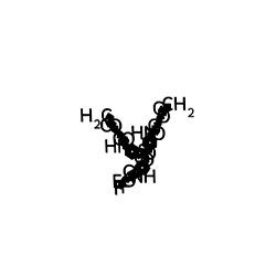 C=CC(=O)OCCOC(=O)Nc1ccc(OP(=S)(Oc2ccc(NC(=O)OCCOC(=O)C=C)cc2)Oc2ccc(NC(=O)OCC(F)(F)F)cc2)cc1